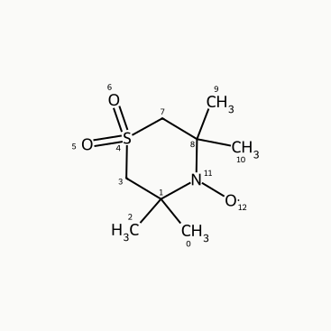 CC1(C)CS(=O)(=O)CC(C)(C)N1[O]